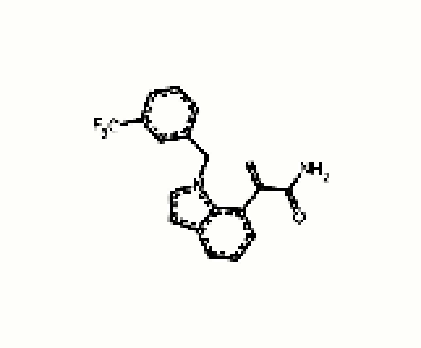 C=C(C(N)=O)c1cccc2ccn(Cc3cccc(C(F)(F)F)c3)c12